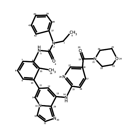 CCN(C(=O)Nc1cccc(-c2cc(Nc3ccc(C(=O)N4CCOCC4)cn3)c3nccn3c2)c1C)c1ccccc1